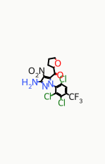 Nc1nn(-c2c(Cl)cc(C(F)(F)F)c(Cl)c2Cl)c(C(=O)C2CCCO2)c1[N+](=O)[O-]